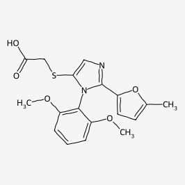 COc1cccc(OC)c1-n1c(SCC(=O)O)cnc1-c1ccc(C)o1